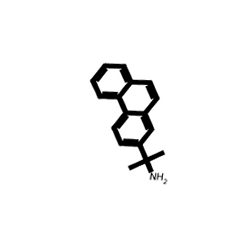 CC(C)(N)c1ccc2c(ccc3ccccc32)c1